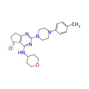 Cc1ccc(N2CCN(c3nc4c(c(NC5CCOCC5)n3)[S+]([O-])CC4)CC2)cc1